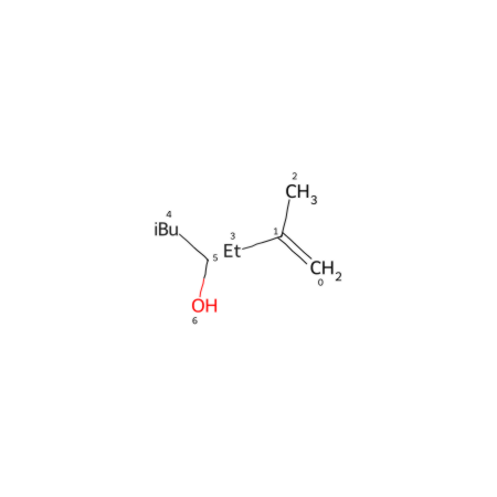 C=C(C)CC.CCC(C)CO